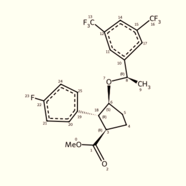 COC(=O)[C@@H]1CC[C@H](O[C@H](C)c2cc(C(F)(F)F)cc(C(F)(F)F)c2)[C@H]1c1ccc(F)cc1